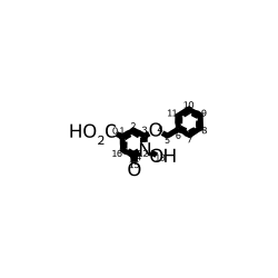 O=C(O)c1cc(OCc2ccccc2)n(O)c(=O)c1